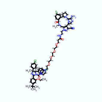 CCOc1cc(C(C)(C)C)ccc1C1=N[C@@](C)(c2ccc(Cl)cc2)[C@@](C)(c2ccc(Cl)cc2)N1C(=O)N1CCN(CCOCCOCCOCCOCCC(=O)NCCn2nc(C#N)c3c2CN(C)C(=O)c2ccc(F)cc2[C@H]2CCCN2c2nc-3cnc2N)CC1